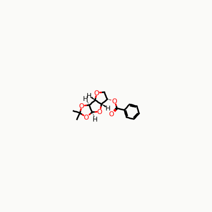 CC1(C)O[C@@H]2O[C@@H]3[C@@H](OC[C@@H]3OC(=O)c3ccccc3)[C@@H]2O1